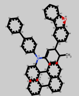 CC1C=CC(N(c2ccc(-c3ccccc3)cc2)c2ccccc2-c2cccc3cccc(-c4ccccc4)c23)=CC1c1ccc2oc3ccccc3c2c1